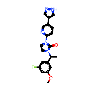 COc1cc(F)cc(C(C)n2ccn(-c3ccc(-c4cn[nH]c4)cn3)c2=O)c1